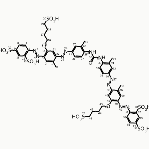 Cc1cc(N=Nc2ccc(S(=O)(=O)O)cc2S(=O)(=O)O)c(OCCCCS(=O)(=O)O)cc1N=Nc1ccc(NC(=O)Nc2ccc(N=Nc3cc(OCCCCS(=O)(=O)O)c(N=Nc4ccc(S(=O)(=O)O)cc4S(=O)(=O)O)cc3C)cc2C)c(C)c1